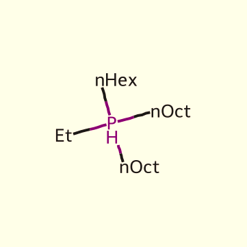 CCCCCCCC[PH](CC)(CCCCCC)CCCCCCCC